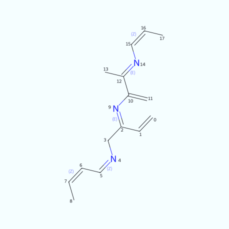 C=C/C(C/N=C\C=C/C)=N\C(=C)/C(C)=N/C=C\C